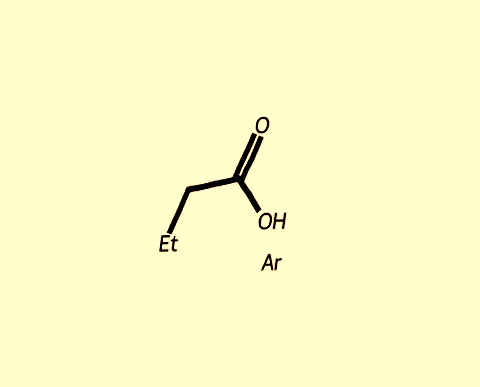 CCCC(=O)O.[Ar]